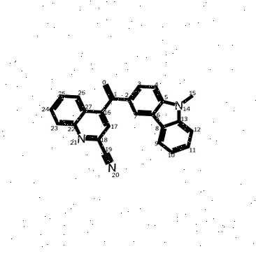 C=C(c1ccc2c(c1)c1ccccc1n2C)c1cc(C#N)nc2ccccc12